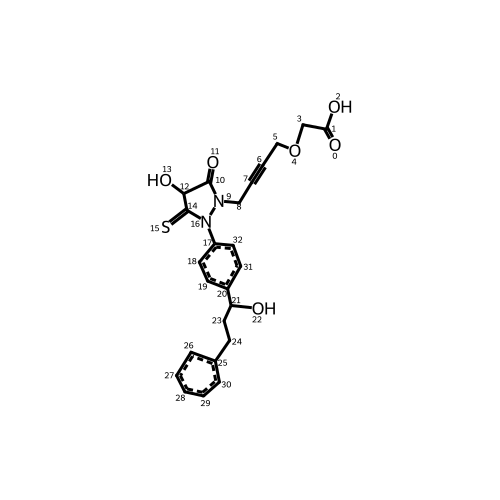 O=C(O)COCC#CCN1C(=O)C(O)C(=S)N1c1ccc(C(O)CCc2ccccc2)cc1